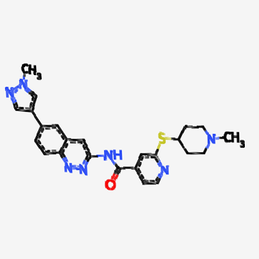 CN1CCC(Sc2cc(C(=O)Nc3cc4cc(-c5cnn(C)c5)ccc4nn3)ccn2)CC1